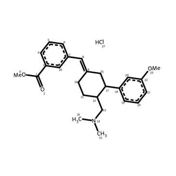 COC(=O)c1cccc(C=C2CCC(CN(C)C)C(c3cccc(OC)c3)C2)c1.Cl